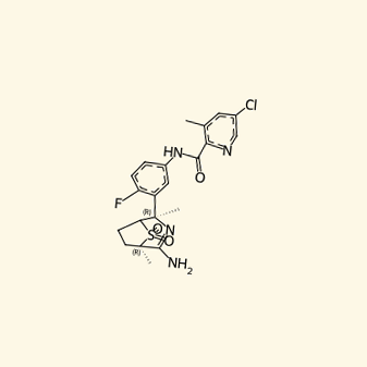 Cc1cc(Cl)cnc1C(=O)Nc1ccc(F)c([C@@]2(C)N=C(N)[C@@]3(C)CCC2S3(=O)=O)c1